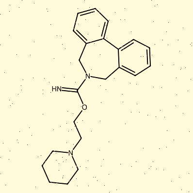 N=C(OCCN1CCCCC1)N1Cc2ccccc2-c2ccccc2C1